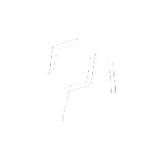 C=C.Ic1ccccc1